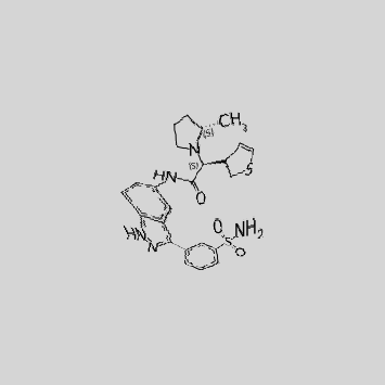 C[C@H]1CCCN1[C@H](C(=O)Nc1ccc2[nH]nc(-c3cccc(S(N)(=O)=O)c3)c2c1)C1C=CSC1